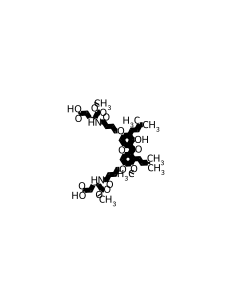 COC(=O)[C@H](CCC(=O)O)NC(=O)CCCOc1cc2oc3cc(OCCCC(=O)N[C@H](CCC(=O)O)C(=O)OC)c(CC=C(C)C)c(O)c3c(=O)c2c(CC=C(C)C)c1OC